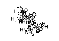 N=C(N)NCCC[C@H](NC(=O)CNC(=O)[C@@H](N)CS)C(=O)N[C@H](Cc1ccccc1)C(=O)N[C@@H](CCCNC(=N)N)C(=O)N[C@@H](Cc1ccccc1)C(=O)N[C@@H](CS)C(=O)O